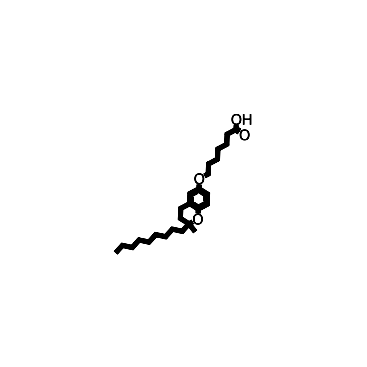 CCCCCCCCCC1(C)CCc2cc(OCCCCCCC(=O)O)ccc2O1